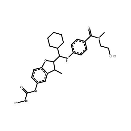 CCNC(=O)Nc1ccc2c(c1)C(C)C(C(Nc1ccc(C(=O)N(C)CCC=O)cc1)C1CCCCC1)O2